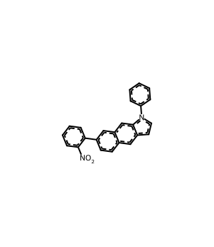 O=[N+]([O-])c1ccccc1-c1ccc2cc3ccn(-c4ccccc4)c3cc2c1